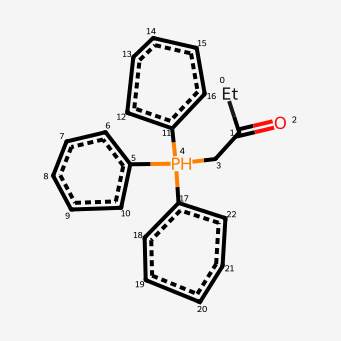 CCC(=O)C[PH](c1ccccc1)(c1ccccc1)c1ccccc1